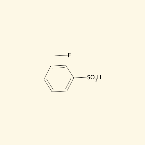 CF.O=S(=O)(O)c1ccccc1